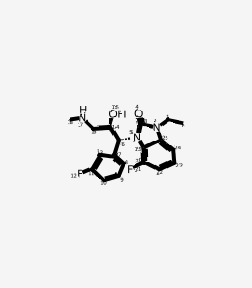 CCn1c(=O)n([C@H](c2cccc(F)c2)[C@H](O)CNC)c2c(F)cccc21